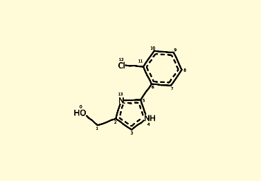 OCc1c[nH]c(-c2ccccc2Cl)n1